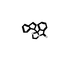 O=C1c2ccccc2C2(C3C=Cc4ccccc43)OCCN12